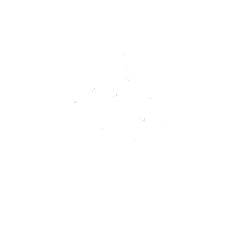 CO[Si](OC)C(C)[Si](C)(C)OC